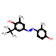 Cc1cc(O)ccc1/N=N/c1cc(C)c(O)c(C(C)(C)C)c1